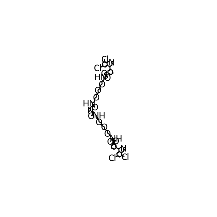 CN(CC(=O)NCCOCCOCCOCCNS(=O)(=O)c1cccc(C2CN(C)Cc3c(Cl)cc(Cl)cc32)c1)CC(=O)NCCOCCOCCOCCNS(=O)(=O)c1cccc(C2CN(C)Cc3c(Cl)cc(Cl)cc32)c1